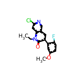 CCn1c(=O)c(-c2cc(OC)ccc2F)cc2cnc(Cl)cc21